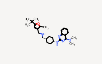 Cc1oc(C(C)(C)C)cc1CNC[C@H]1CC[C@@H](Nc2nc(N(C)C)c3ccccc3n2)CC1